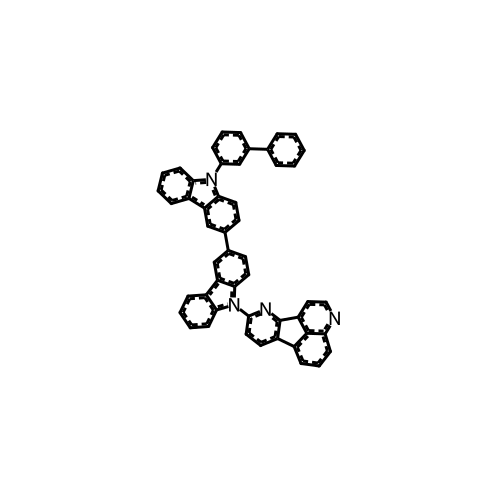 c1ccc(-c2cccc(-n3c4ccccc4c4cc(-c5ccc6c(c5)c5ccccc5n6-c5ccc6c(n5)-c5ccnc7cccc-6c57)ccc43)c2)cc1